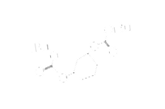 CC(C)COC(=O)OC1CCCC(OC(=O)OC(C)(C)C)C1